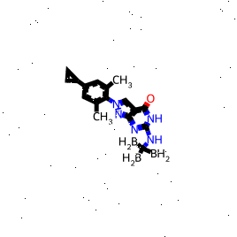 BC(B)(B)Nc1nc2nn(-c3c(C)cc(C4CC4)cc3C)cc2c(=O)[nH]1